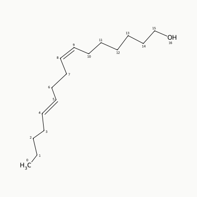 CCCCC=CCC/C=C\CCCCCCO